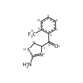 NC1=NC(C(=O)c2ccccc2C(F)(F)F)CS1